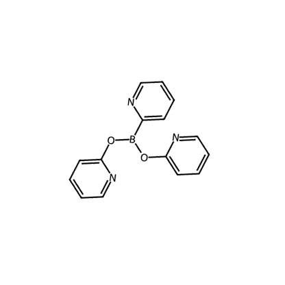 c1ccc(OB(Oc2ccccn2)c2ccccn2)nc1